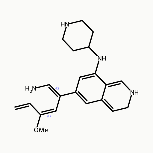 C=C/C(=C\C(=C/N)c1cc(NC2CCNCC2)c2c(c1)=CCNC=2)OC